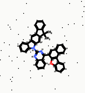 CC1(C)c2ccccc2-c2cc3c4ccccc4n(-c4nc(-c5cc6ccccc6c6c5oc5ccccc56)c5ccccc5n4)c3cc21